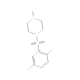 CC(=O)N1CCN(S(=O)(=O)c2cc(Cl)ccc2Cl)CC1